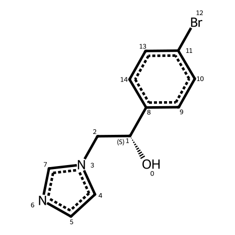 O[C@H](Cn1ccnc1)c1ccc(Br)cc1